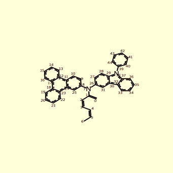 C=C(/C=C\C=C/C)N(c1ccc2c3ccccc3c3ccccc3c2c1)c1ccc2c(c1)c1ccccc1n2-c1ccccc1